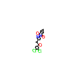 O=C(c1ccc(Cl)c(Cl)c1)C1CC1c1ccc(N2C(=O)C3C4C=CC(C5CC45)C3C2=O)nc1